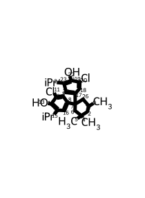 CC1CC(C)(C)CC(c2cc(Cl)c(O)c(C(C)C)c2)(c2cc(Cl)c(O)c(C(C)C)c2)C1